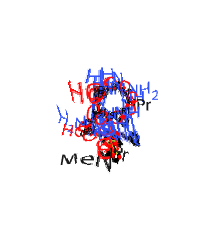 CNC(=O)c1ccccc1Sc1ccc2c(/C=C/c3ccccn3)nn(C(=O)N(CCOC(=O)C(C)C)CCC(=O)N[C@H](C(=O)N[C@@H](CCN)C(=O)N[C@H]3CCNC(=O)[C@@H]([C@@H](C)O)NC(=O)[C@H](CCN)NC(=O)[C@H](CCN)NC(=O)[C@H](CC(C)C)NC(=O)[C@@H](Cc4ccccc4)NC(=O)[C@H](CCN)NC3=O)[C@@H](C)O)c2c1